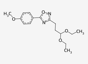 CCOC(CCc1noc(-c2ccc(OC)cc2)n1)OCC